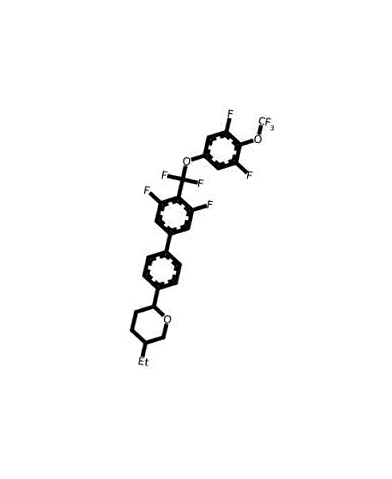 CCC1CCC(c2ccc(-c3cc(F)c(C(F)(F)Oc4cc(F)c(OC(F)(F)F)c(F)c4)c(F)c3)cc2)OC1